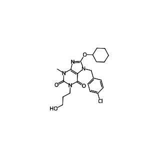 Cn1c(=O)n(CCCO)c(=O)c2c1nc(OC1CCCCC1)n2Cc1ccc(Cl)cc1